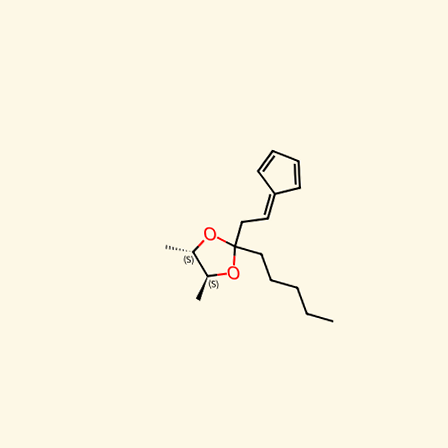 CCCCCC1(CC=C2C=CC=C2)O[C@@H](C)[C@H](C)O1